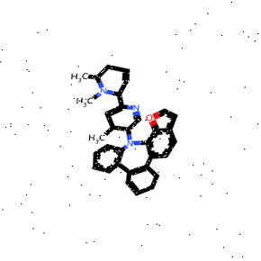 CC1C=C(C2C=CCC(C)N2C)N=CC1N1c2ccccc2C2=C(CCC=C2)c2ccc3ccoc3c21